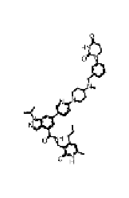 CCCc1cc(C)[nH]c(=O)c1CNC(=O)c1cc(-c2ccc(N3CCC(N(C)Cc4cccc(N5CCC(=O)NC5=O)c4)CC3)nc2)cc2c1cnn2C(C)C